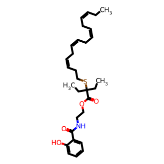 CC/C=C\C/C=C\C/C=C\C/C=C\CCSC(CC)(CC)C(=O)OCCNC(=O)c1ccccc1O